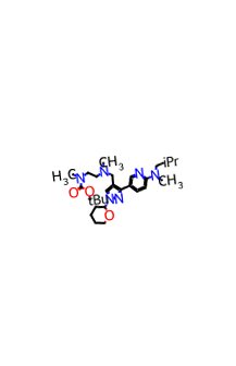 CC(C)CN(C)c1ccc(-c2nn(C3CCCCO3)cc2CN(C)CCN(C)C(=O)OC(C)(C)C)cn1